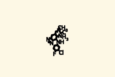 Cc1nc2c(Nc3ccc(F)c(Cl)c3)c3ncnc3cc2cn1C